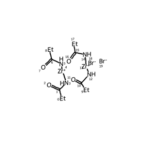 CCC(=O)[NH][Zr+][NH]C(=O)CC.CCC(=O)[NH][Zr+][NH]C(=O)CC.[Br-].[Br-]